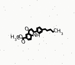 CCCCCc1ccc(-c2cc(=O)c3cc(C(=O)OC)ccc3[nH]2)cc1